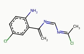 C=C(/N=C\N=C(/C)Cl)c1cc(Cl)ccc1N